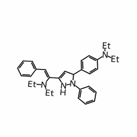 CCN(CC)C(=Cc1ccccc1)C1=CC(c2ccc(N(CC)CC)cc2)N(c2ccccc2)N1